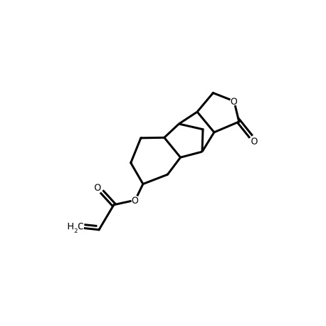 C=CC(=O)OC1CCC2C3CC(C2C1)C1C(=O)OCC31